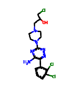 Nc1nc(N2CCN(CC(O)CCl)CC2)nnc1-c1cccc(Cl)c1Cl